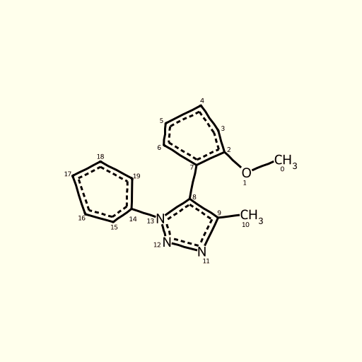 COc1ccccc1-c1c(C)nnn1-c1ccccc1